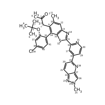 CC(=O)[C@@H](OC(C)(C)C)c1c(C)cc2nc(-c3cc(-c4ccc5nn(C)cc5n4)ccn3)sc2c1-c1ccc(Cl)cc1